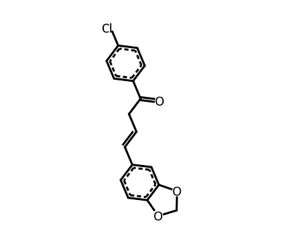 O=C(CC=Cc1ccc2c(c1)OCO2)c1ccc(Cl)cc1